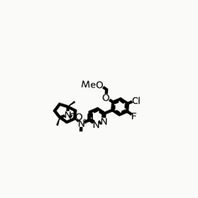 COCOc1cc(Cl)c(F)cc1-c1ccc(N(C)[C@H]2C[C@]3(C)CC[C@](C)(C2)N3C(=O)O)nn1